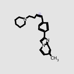 Cc1ccn2cc(-c3ccc(/C=C\CCN4CCCCC4)cc3)nc2c1